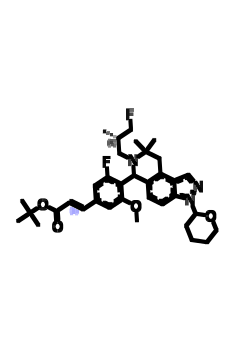 COc1cc(/C=C/C(=O)OC(C)(C)C)cc(F)c1C1c2ccc3c(cnn3C3CCCCO3)c2CC(C)(C)N1C[C@H](C)CF